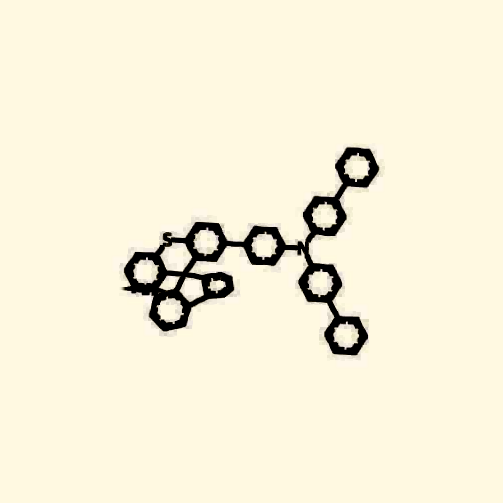 c1ccc(-c2ccc(N(c3ccc(-c4ccccc4)cc3)c3ccc(-c4ccc5c(c4)C4(c6ccccc6-c6ccccc64)c4c(ccc6ccccc46)S5)cc3)cc2)cc1